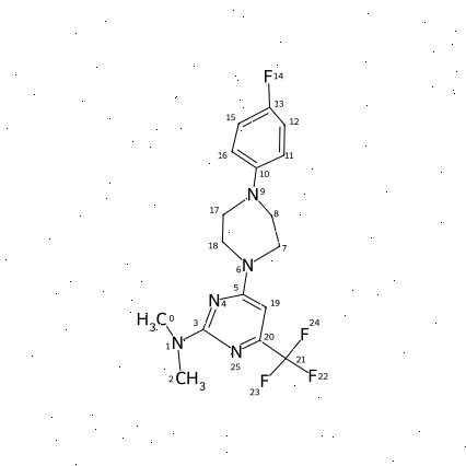 CN(C)c1nc(N2CCN(c3ccc(F)cc3)CC2)cc(C(F)(F)F)n1